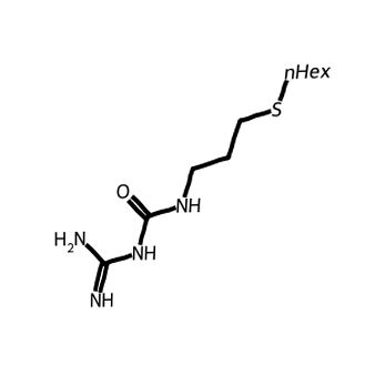 CCCCCCSCCCNC(=O)NC(=N)N